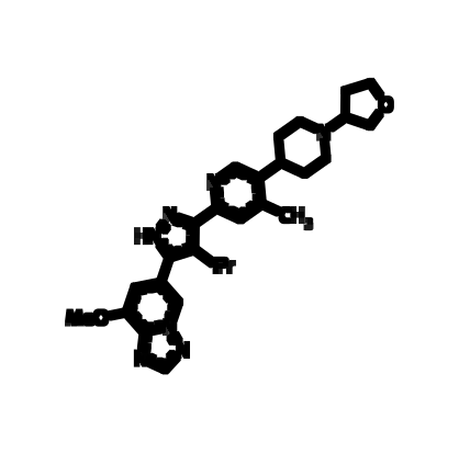 COc1cc(-c2[nH]nc(-c3cc(C)c(C4CCN(C5CCOC5)CC4)cn3)c2C(C)C)cn2ncnc12